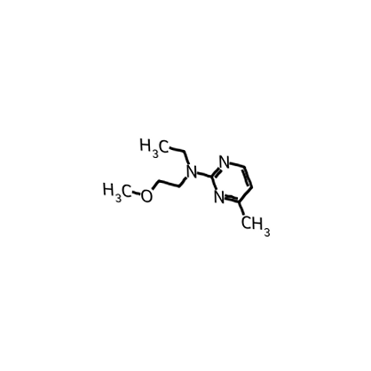 CCN(CCOC)c1nccc(C)n1